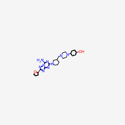 Nc1nc(N2CCCC(CN3CCN(c4ccc(O)cc4)CC3)C2)nc2nc(-c3ccco3)nn12